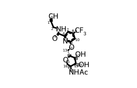 C#CCNC(=O)c1cc(C(F)(F)F)cc(OC[C@H]2OC[C@H](NC(C)=O)[C@@H](O)[C@H]2O)n1